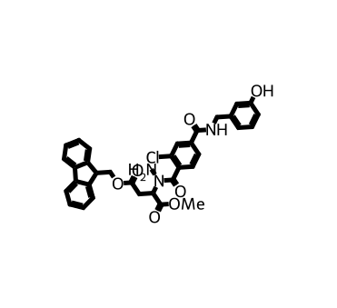 COC(=O)C(CC(=O)OCC1c2ccccc2-c2ccccc21)N(N)C(=O)c1ccc(C(=O)NCc2cccc(O)c2)cc1Cl